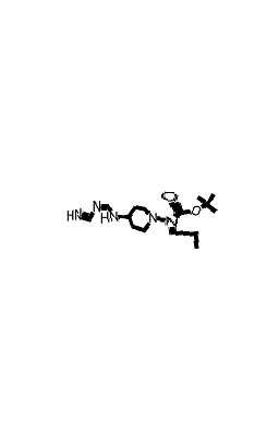 CCCN(C(=O)OC(C)(C)C)N1CCC(N/C=N\C=N)CC1